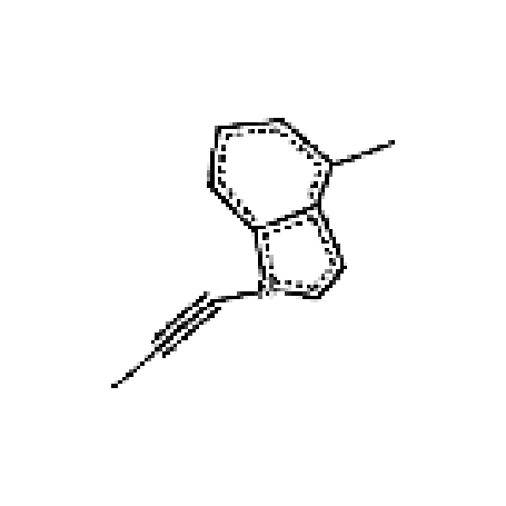 CC#Cn1ccc2c(C)cccc21